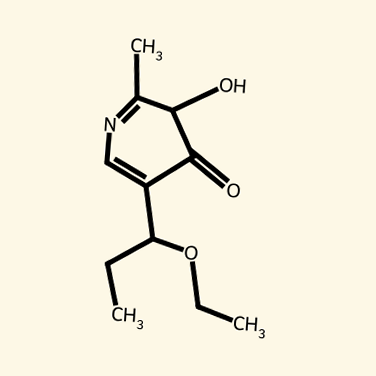 CCOC(CC)C1=CN=C(C)C(O)C1=O